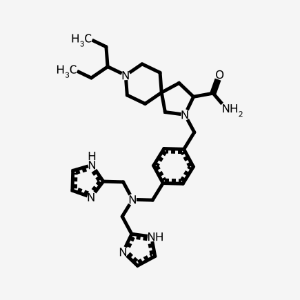 CCC(CC)N1CCC2(CC1)CC(C(N)=O)N(Cc1ccc(CN(Cc3ncc[nH]3)Cc3ncc[nH]3)cc1)C2